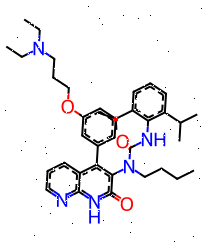 CCCCN(C(=O)Nc1c(C(C)C)cccc1C(C)C)c1c(-c2cccc(OCCCN(CC)CC)c2)c2cccnc2[nH]c1=O